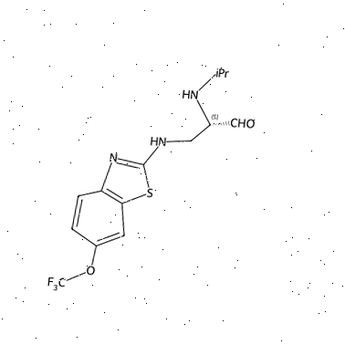 CC(C)N[C@H](C=O)CNc1nc2ccc(OC(F)(F)F)cc2s1